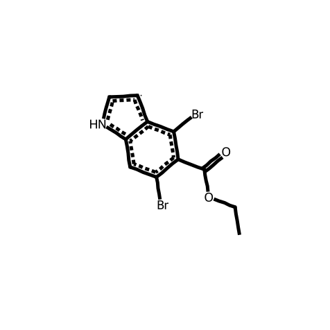 CCOC(=O)c1c(Br)cc2[nH]c[c]c2c1Br